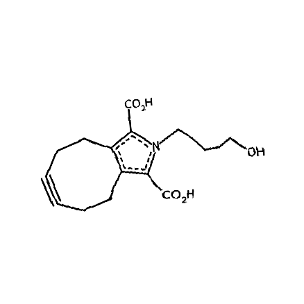 O=C(O)c1c2c(c(C(=O)O)n1CCCO)CCC#CCC2